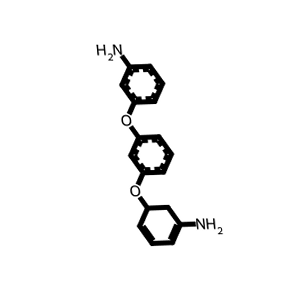 NC1=CC=CC(Oc2cccc(Oc3cccc(N)c3)c2)C1